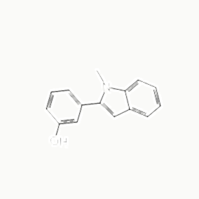 Cn1c(-c2cccc(O)c2)cc2ccccc21